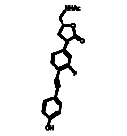 CC(=O)NC[C@H]1CN(c2ccc(C#Cc3ccc(O)cc3)c(F)c2)C(=O)O1